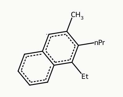 CCCc1c(C)[c]c2ccccc2c1CC